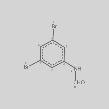 O=CNc1cc(Br)cc(Br)c1